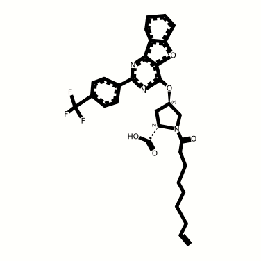 C=CCCCCCCC(=O)N1C[C@H](Oc2nc(-c3ccc(C(F)(F)F)cc3)nc3c2oc2ccccc23)C[C@H]1C(=O)O